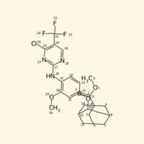 COC(=O)C12CC3CC(C1)C(Oc1ccc(Nc4ncc(C(F)(F)F)c(Cl)n4)c(OC)c1)C(C3)C2